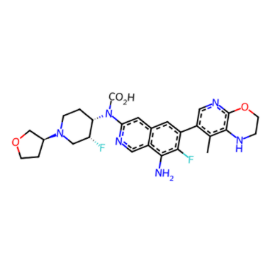 Cc1c(-c2cc3cc(N(C(=O)O)[C@H]4CCN([C@H]5CCOC5)C[C@H]4F)ncc3c(N)c2F)cnc2c1NCCO2